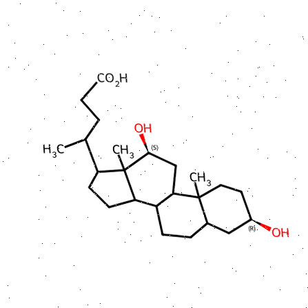 CC(CCC(=O)O)C1CCC2C3CCC4C[C@H](O)CCC4(C)C3C[C@H](O)C12C